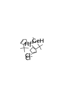 [CH3][GeH]([CH3])[Hf+2]([C]1=C(C(C)(C)C)C=CC1)[C]1=C(C(C)(C)C)C=CC1.[Cl-].[Cl-]